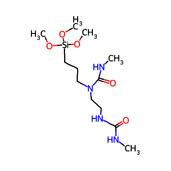 CNC(=O)NCCN(CCC[Si](OC)(OC)OC)C(=O)NC